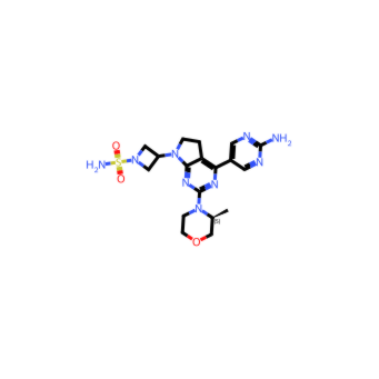 C[C@H]1COCCN1c1nc(-c2cnc(N)nc2)c2c(n1)N(C1CN(S(N)(=O)=O)C1)CC2